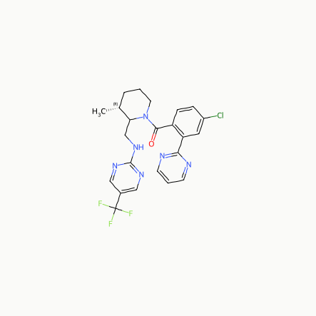 C[C@@H]1CCCN(C(=O)c2ccc(Cl)cc2-c2ncccn2)C1CNc1ncc(C(F)(F)F)cn1